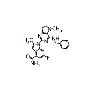 Cc1cc2c(C(N)=O)cc(F)cc2n1-c1nc2c(c(NCc3ccccc3)n1)N(C)CC2